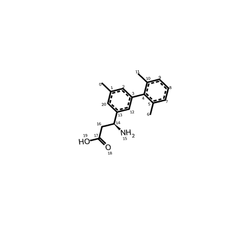 Cc1cc(-c2c(C)cccc2C)cc([C@@H](N)CC(=O)O)c1